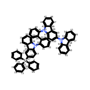 c1ccc([Si](c2ccccc2)(c2ccccc2)c2ccc3c(c2)c2ccccc2n3-c2ccccc2-c2ccccc2-n2c3ccccc3c3cc(-n4c5ccccc5c5ccccc54)ccc32)cc1